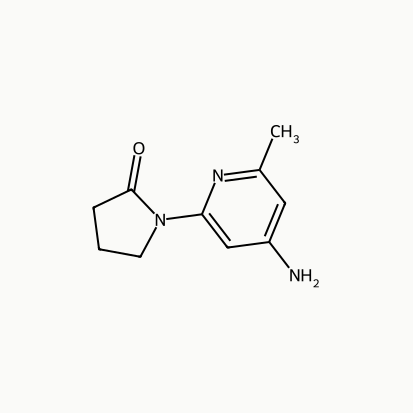 Cc1cc(N)cc(N2CCCC2=O)n1